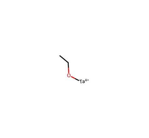 CC[O][Ta+4]